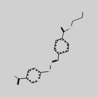 CC(C)CCNC(=O)c1ccc(/C=N/Nc2ccc(C(=O)C(C)C)cn2)cc1